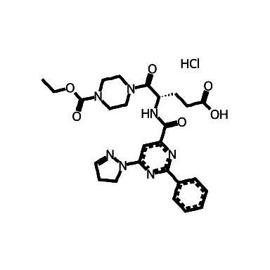 CCOC(=O)N1CCN(C(=O)[C@H](CCC(=O)O)NC(=O)c2cc(N3CCC=N3)nc(-c3ccccc3)n2)CC1.Cl